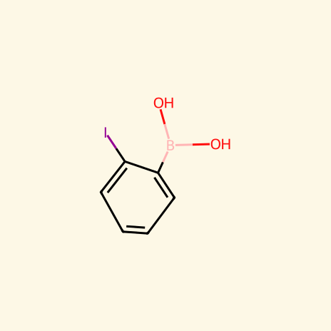 OB(O)c1ccccc1I